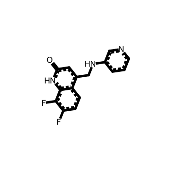 O=c1cc(CNc2cccnc2)c2ccc(F)c(F)c2[nH]1